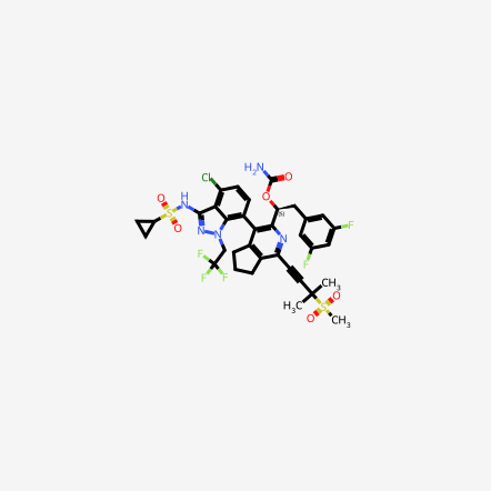 CC(C)(C#Cc1nc([C@H](Cc2cc(F)cc(F)c2)OC(N)=O)c(-c2ccc(Cl)c3c(NS(=O)(=O)C4CC4)nn(CC(F)(F)F)c23)c2c1CCC2)S(C)(=O)=O